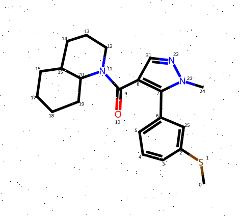 CSc1cccc(-c2c(C(=O)N3CCCC4CCCCC43)cnn2C)c1